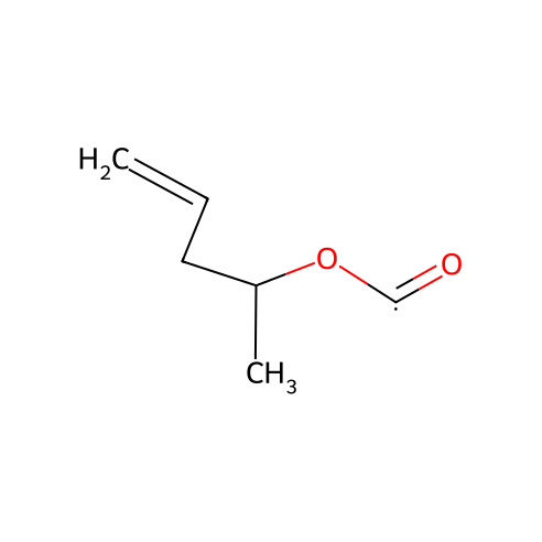 C=CCC(C)O[C]=O